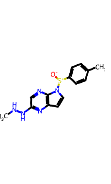 CNNc1cnc2c(ccn2[S+]([O-])c2ccc(C)cc2)n1